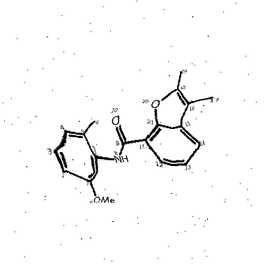 COc1cccc(C)c1NC(=O)c1cccc2c(C)c(C)oc12